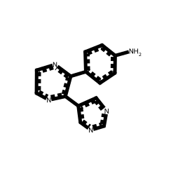 Nc1ccc(-c2nccnc2-c2cncnc2)cc1